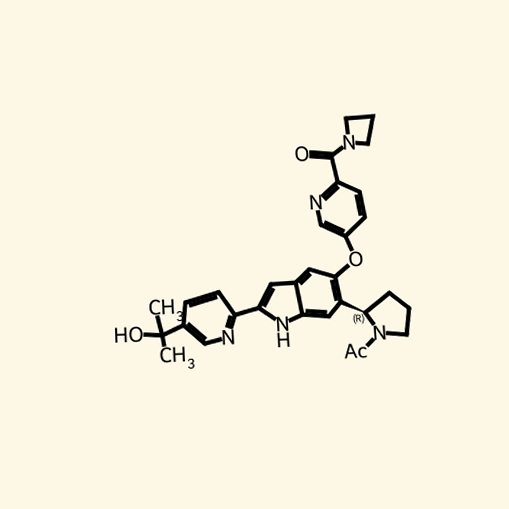 CC(=O)N1CCC[C@@H]1c1cc2[nH]c(-c3ccc(C(C)(C)O)cn3)cc2cc1Oc1ccc(C(=O)N2CCC2)nc1